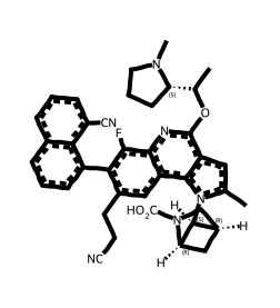 Cc1cc2c(OC(C)[C@@H]3CCCN3C)nc3c(F)c(-c4cccc5cccc(C#N)c45)c(CCC#N)cc3c2n1[C@H]1[C@@H]2C[C@H]1N(C(=O)O)C2